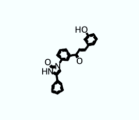 O=C(/C=C/c1cccc(O)c1)c1cccc(-n2cc(-c3ccccc3)[nH]c2=O)c1